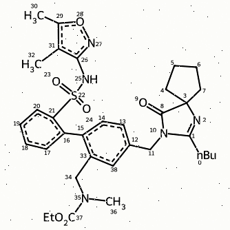 CCCCC1=NC2(CCCC2)C(=O)N1Cc1ccc(-c2ccccc2S(=O)(=O)Nc2noc(C)c2C)c(CN(C)C(=O)OCC)c1